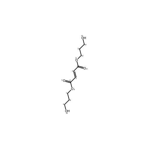 O=C(C=CC(=O)OCCCO)OCCCO